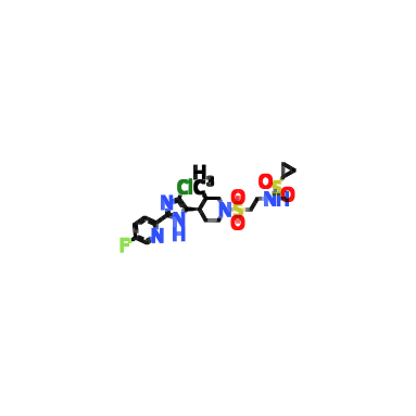 C[C@H]1CN(S(=O)(=O)CCNS(=O)(=O)C2CC2)CC[C@H]1c1[nH]c(-c2ccc(F)cn2)nc1Cl